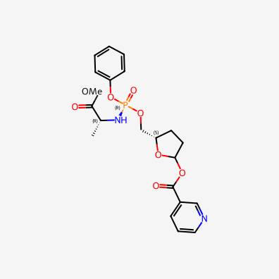 COC(=O)[C@@H](C)N[P@@](=O)(OC[C@@H]1CCC(OC(=O)c2cccnc2)O1)Oc1ccccc1